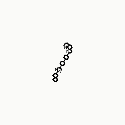 c1ccc2cc(-c3ncc(-c4ccc(-c5ccc(-c6ccc7ccc8cccnc8c7n6)cc5)cc4)cn3)ccc2c1